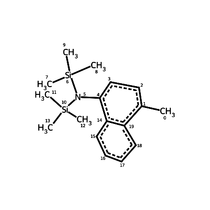 Cc1ccc(N([Si](C)(C)C)[Si](C)(C)C)c2ccccc12